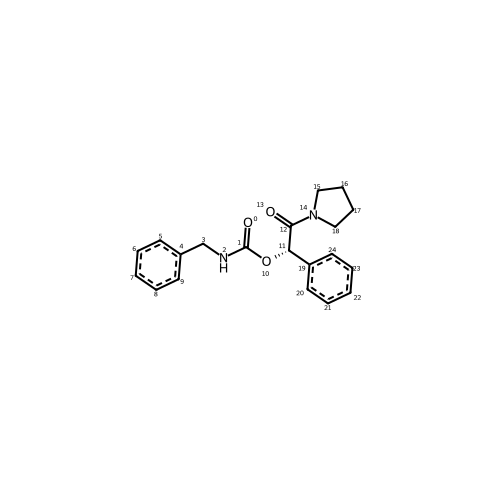 O=C(NCc1ccccc1)O[C@H](C(=O)N1CCCC1)c1ccccc1